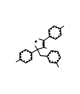 CC1=C(c2ccc(O)cc2)N=NC1(Cc1cccc(O)c1)c1ccc(O)cc1